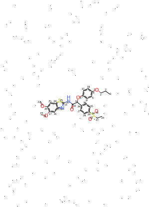 CCCOc1ccc(OC(C(=O)Nc2nc3cc(OC)c(OC)cc3s2)c2ccc(S(=O)(=O)CC)cc2)cc1